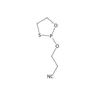 N#CCCOP1OCCS1